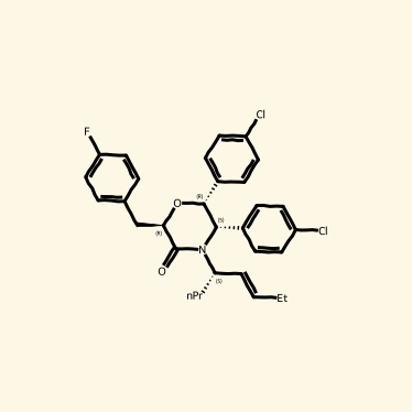 CCC=C[C@H](CCC)N1C(=O)[C@@H](Cc2ccc(F)cc2)O[C@H](c2ccc(Cl)cc2)[C@@H]1c1ccc(Cl)cc1